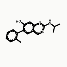 Cc1ccccc1-c1cc2cnc(NC(C)C)nc2cc1O